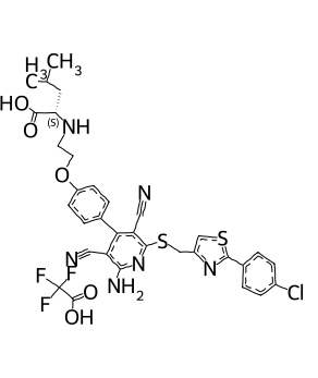 CC(C)C[C@H](NCCOc1ccc(-c2c(C#N)c(N)nc(SCc3csc(-c4ccc(Cl)cc4)n3)c2C#N)cc1)C(=O)O.O=C(O)C(F)(F)F